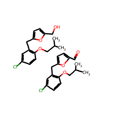 CC(C)COc1ccc(Cl)cc1Cc1ccc(C=O)o1.CC(C)COc1ccc(Cl)cc1Cc1ccc(CO)o1